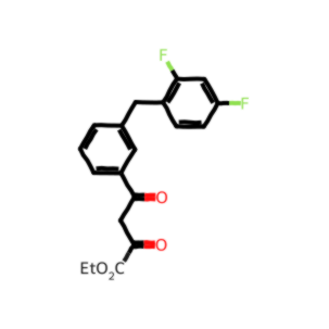 CCOC(=O)C(=O)CC(=O)c1cccc(Cc2ccc(F)cc2F)c1